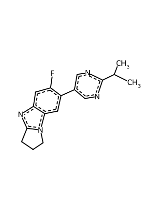 CC(C)c1ncc(-c2cc3c(cc2F)nc2n3CCC2)cn1